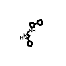 c1ccc(-c2cccc(NCc3cc(-c4ccccc4)[nH]n3)c2)cc1